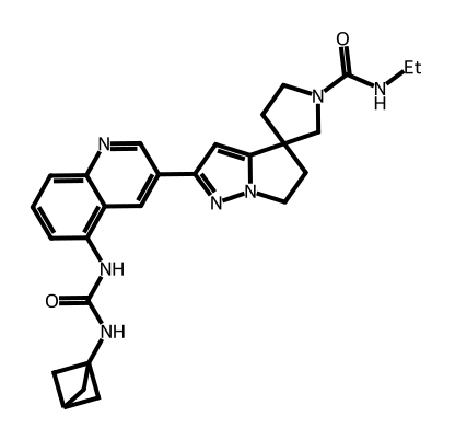 CCNC(=O)N1CCC2(CCn3nc(-c4cnc5cccc(NC(=O)NC67CC(C6)C7)c5c4)cc32)C1